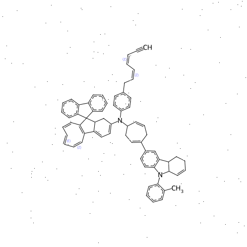 C#C/C=C\C=C/Cc1ccc(N(C2=CC=C3C4=C(C=C/C=C/C=C\4)C4(c5ccccc5-c5ccccc54)C3C2)C2C=CCC(c3ccc4c(c3)C3CCC=CC3N4c3ccccc3C)=CC2)cc1